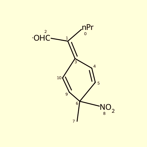 CCCC([C]=O)=C1C=CC(C)([N+](=O)[O-])C=C1